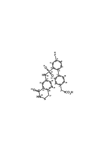 O=C(O)Cc1ccc(-c2ccc(F)cc2S(=O)(=O)Nc2cnc3c(c2)C(=O)NCC3)cc1